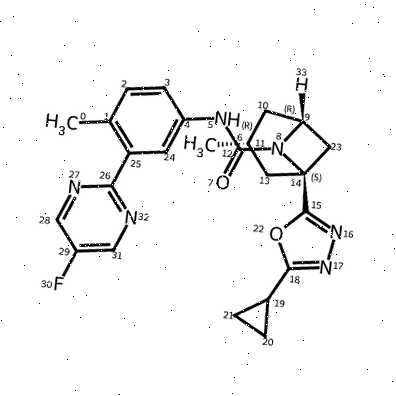 Cc1ccc(NC(=O)N2[C@@H]3C[C@@H](C)C[C@@]2(c2nnc(C4CC4)o2)C3)cc1-c1ncc(F)cn1